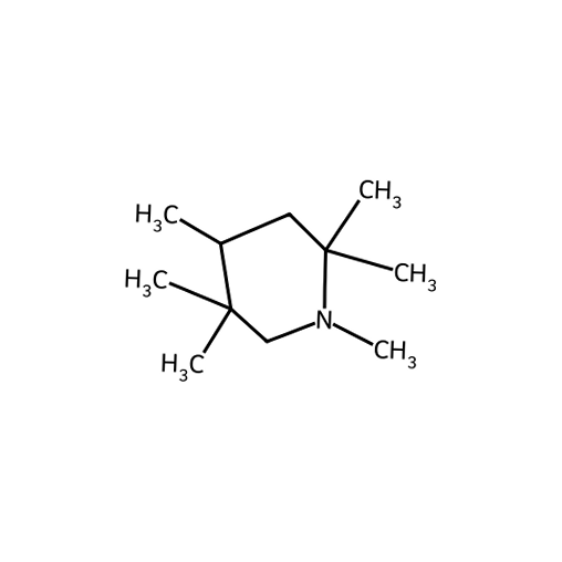 CC1CC(C)(C)N(C)CC1(C)C